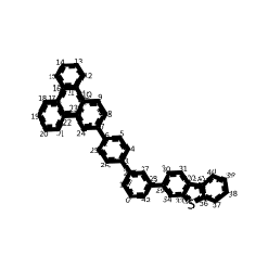 c1cc(-c2ccc(-c3ccc4c5ccccc5c5ccccc5c4c3)cc2)cc(-c2ccc3c(c2)sc2ccccc23)c1